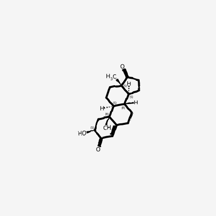 C[C@]12C[C@H](O)C(=O)C=C1CC[C@@H]1[C@@H]2CC[C@]2(C)C(=O)CC[C@@H]12